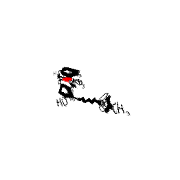 CC[Si](CC)(CC)O[C@@H]1C[C@H](O)[C@H](CC=CCCCC23OCC(C)(CO2)CO3)[C@H]1CS(=O)(=O)c1ccccc1